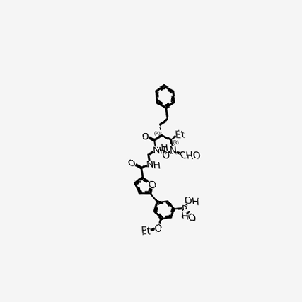 CCOc1cc(-c2ccc(C(=O)NCNC(=O)[C@H](CCc3ccccc3)[C@@H](CC)N(O)C=O)o2)cc([PH](=O)O)c1